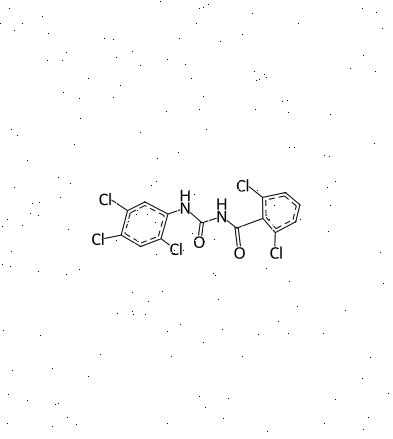 O=C(NC(=O)c1c(Cl)cccc1Cl)Nc1cc(Cl)c(Cl)cc1Cl